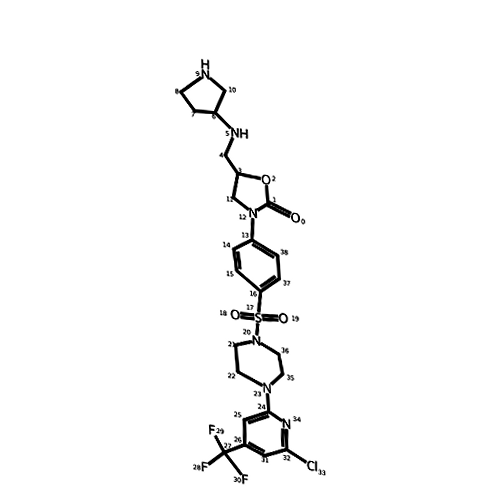 O=C1OC(CNC2CCNC2)CN1c1ccc(S(=O)(=O)N2CCN(c3cc(C(F)(F)F)cc(Cl)n3)CC2)cc1